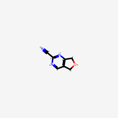 N#Cc1ncc2c(n1)COC2